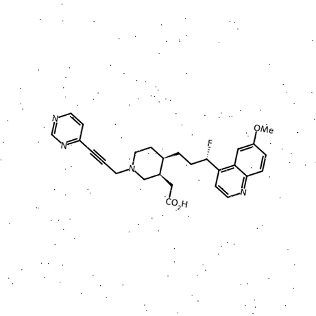 COc1ccc2nccc([C@@H](F)CC[C@@H]3CCN(CC#Cc4ccncn4)C[C@@H]3CC(=O)O)c2c1